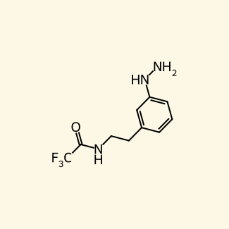 NNc1cccc(CCNC(=O)C(F)(F)F)c1